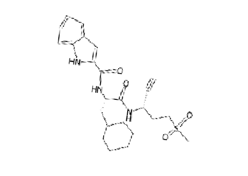 C#C[C@H](CCS(C)(=O)=O)NC(=O)[C@H](CC1CCCCC1)NC(=O)c1cc2ccccc2[nH]1